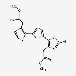 COC(=O)Cc1ccsc1-c1ccc(-c2sc(I)cc2CC(=O)OC)s1